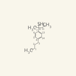 CCCCc1ccc(C(C)(S)CC)cc1